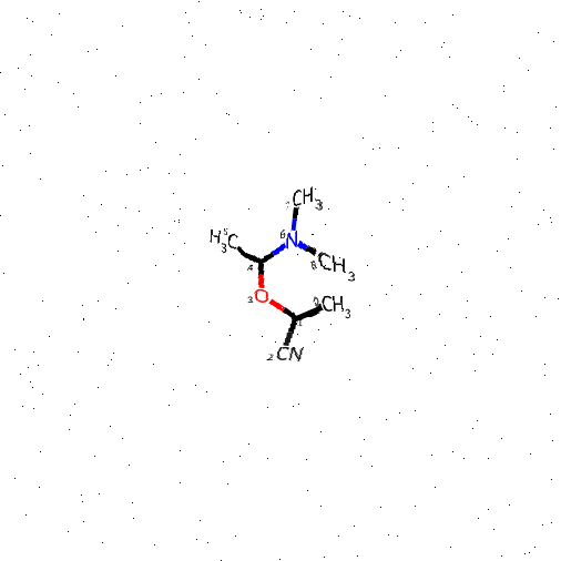 CC(C#N)OC(C)N(C)C